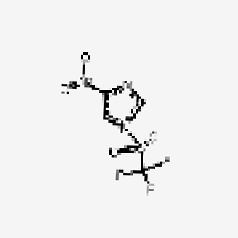 O=[N+]([O-])c1cn(S(=O)(=O)C(F)(F)F)cn1